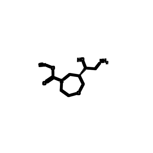 CC(C)(C)OC(=O)N1CCOC[C@@H](C(O)CN)C1